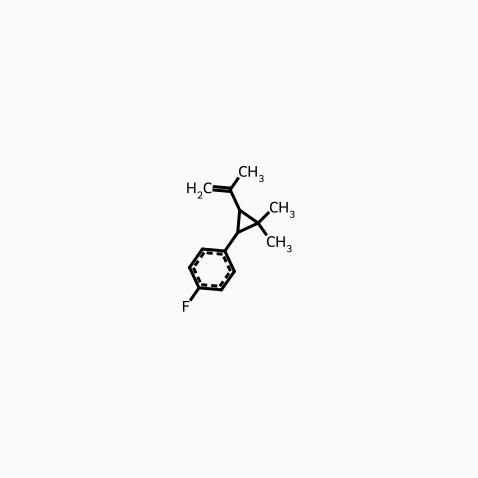 C=C(C)C1C(c2ccc(F)cc2)C1(C)C